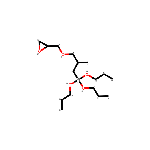 CCCO[Si](CC(C)COCC1CO1)(OCCC)OCCC